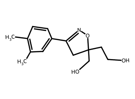 Cc1ccc(C2=NOC(CO)(CCO)C2)cc1C